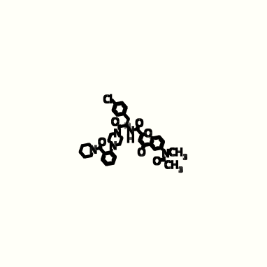 CC(=O)N(C)c1ccc2oc(C(=O)N[C@H](Cc3ccc(Cl)cc3)C(=O)N3CCN(c4ccccc4C(=O)N4CCCCC4)CC3)cc(=O)c2c1